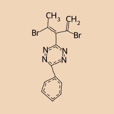 C=C(Br)/C(=C(\C)Br)c1nnc(-c2ccccc2)nn1